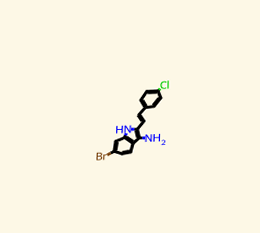 Nc1c(C=Cc2ccc(Cl)cc2)[nH]c2cc(Br)ccc12